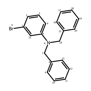 Brc1cccc(N(Cc2ccccc2)Cc2ccccc2)c1